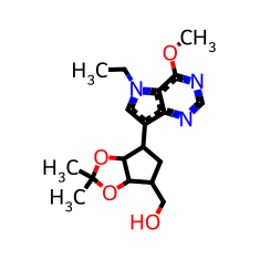 CCn1cc(C2CC(CO)C3OC(C)(C)OC23)c2ncnc(OC)c21